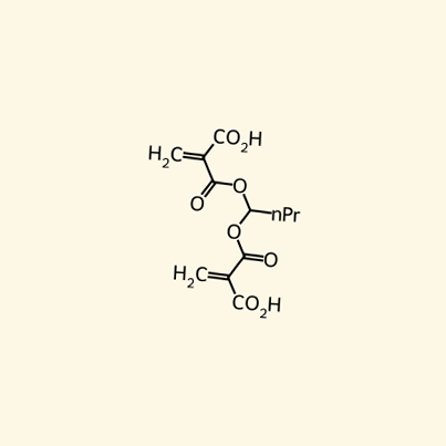 C=C(C(=O)O)C(=O)OC(CCC)OC(=O)C(=C)C(=O)O